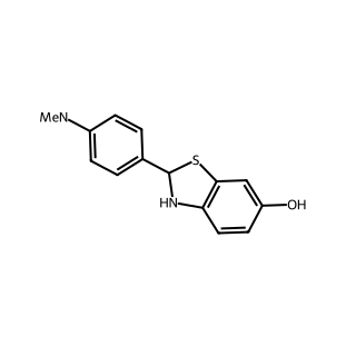 CNc1ccc(C2Nc3ccc(O)cc3S2)cc1